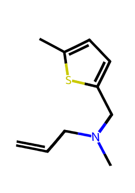 C=CCN(C)Cc1ccc(C)s1